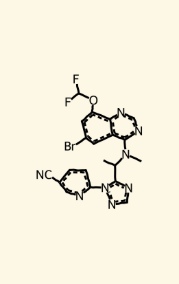 CC(c1ncnn1-c1ccc(C#N)cn1)N(C)c1ncnc2c(OC(F)F)cc(Br)cc12